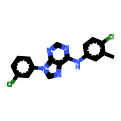 Cc1cc(Nc2ncnc3c2ncn3-c2cccc(Cl)c2)ccc1Cl